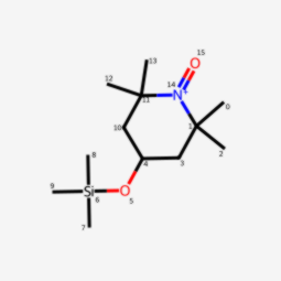 CC1(C)CC(O[Si](C)(C)C)CC(C)(C)[N+]1=O